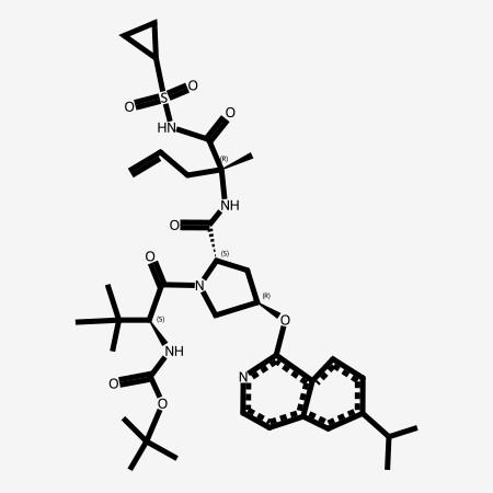 C=CC[C@@](C)(NC(=O)[C@@H]1C[C@@H](Oc2nccc3cc(C(C)C)ccc23)CN1C(=O)[C@@H](NC(=O)OC(C)(C)C)C(C)(C)C)C(=O)NS(=O)(=O)C1CC1